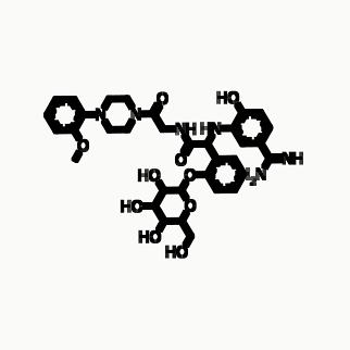 COc1ccccc1N1CCN(C(=O)CNC(=O)C(Nc2cc(C(=N)N)ccc2O)c2ccccc2OC2OC(CO)C(O)C(O)C2O)CC1